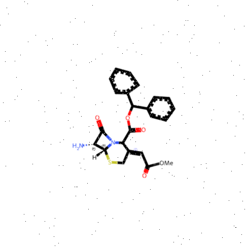 COC(=O)/C=C1\CS[C@@H]2[C@H](N)C(=O)N2C1C(=O)OC(c1ccccc1)c1ccccc1